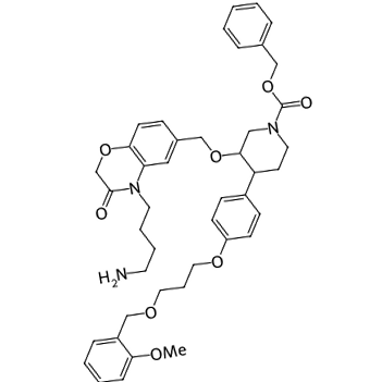 COc1ccccc1COCCCOc1ccc(C2CCN(C(=O)OCc3ccccc3)CC2OCc2ccc3c(c2)N(CCCCN)C(=O)CO3)cc1